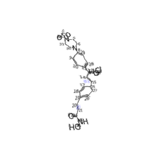 CS(=O)(=O)N1CCN(c2ccc(C(=O)/C=C/c3ccc(/C=C/C(=O)NO)cc3)cc2)CC1.Cl